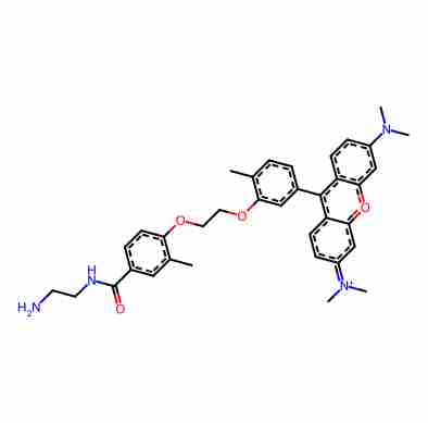 Cc1cc(C(=O)NCCN)ccc1OCCOc1cc(-c2c3ccc(=[N+](C)C)cc-3oc3cc(N(C)C)ccc23)ccc1C